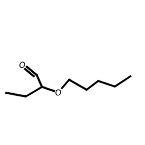 CCCCCOC(C=O)CC